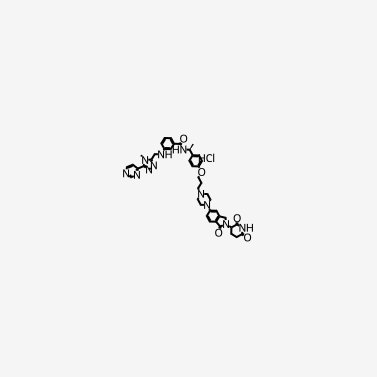 C[C@H](NC(=O)c1cccc(NCc2nnc(-c3ccncn3)n2C)c1)c1ccc(OCCCN2CCN(c3ccc4c(c3)CN(C3CCC(=O)NC3=O)C4=O)CC2)cc1.Cl